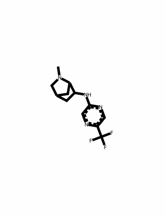 CN1CC2CC(Nc3cnc(C(F)(F)F)cn3)C1C2